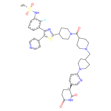 CCCS(=O)(=O)Nc1cccc(-c2nc(C3CCN(C(=O)C4CCN(CC5CCN(c6ccc([C@@H]7CCC(=O)NC7=O)cn6)CC5)CC4)CC3)sc2-c2ccncc2)c1F